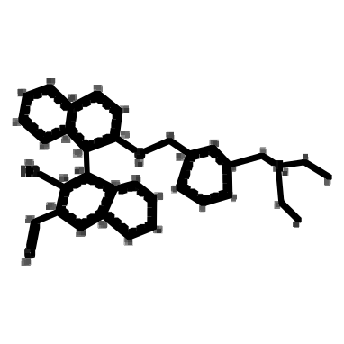 CCN(CC)Cc1cccc(COc2ccc3ccccc3c2-c2c(O)c(C=O)cc3ccccc23)c1